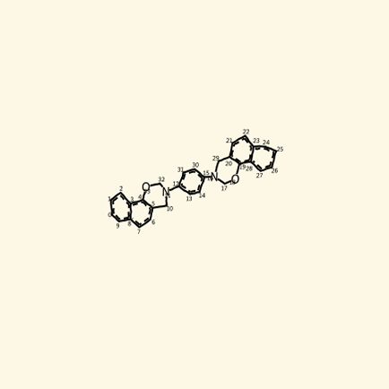 c1ccc2c3c(ccc2c1)CN(c1ccc(N2COc4c(ccc5ccccc45)C2)cc1)CO3